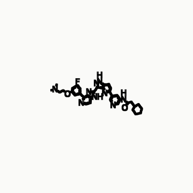 CN(C)CCOc1cc(F)cc(-c2nccc3[nH]c(-c4n[nH]c5ccc(-c6cncc(NC(=O)CC7CCCCC7)c6)nc45)nc23)c1